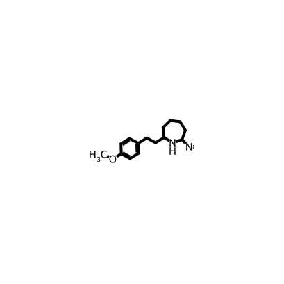 COc1ccc(CCC2CCCCC([N])N2)cc1